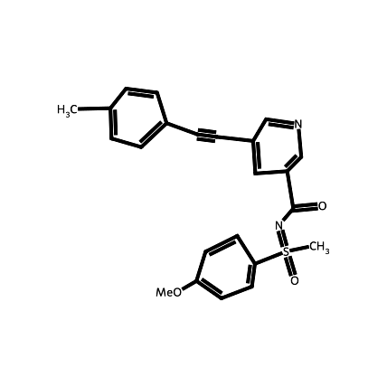 COc1ccc(S(C)(=O)=NC(=O)c2cncc(C#Cc3ccc(C)cc3)c2)cc1